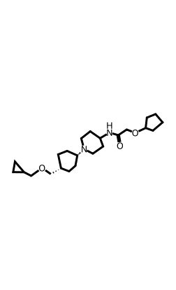 O=C(COC1CCCC1)NC1CCN([C@H]2CC[C@@H](COCC3CC3)CC2)CC1